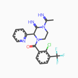 CC(=N)N1CCN(C(=O)c2cccc(C(F)(F)F)c2Cl)C(c2ccccn2)C1=N